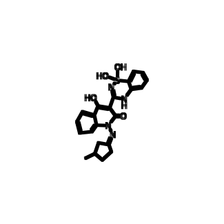 CC1CCC(=Nn2c(=O)c(C3=NS(O)(O)c4ccccc4N3)c(O)c3ccccc32)C1